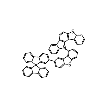 c1ccc2c(c1)-c1ccccc1C21c2ccccc2-c2ccc(-c3ccc4sc5cccc(-n6c7ccccc7c7ccc8sc9ccccc9c8c76)c5c4c3)cc21